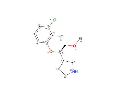 CCOC[C@H](Oc1cccc(Cl)c1Cl)C1CCNC1